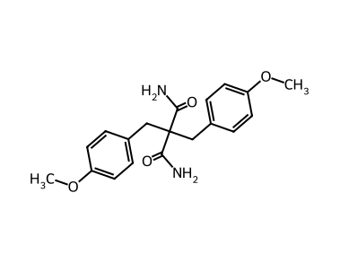 COc1ccc(CC(Cc2ccc(OC)cc2)(C(N)=O)C(N)=O)cc1